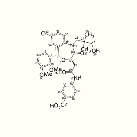 COc1cccc([C@H]2O[C@H](CC(=O)Nc3ccc(C(=O)O)cc3)C(=O)N(CC(C)(C)CO)c3ccc(Cl)cc32)c1OC